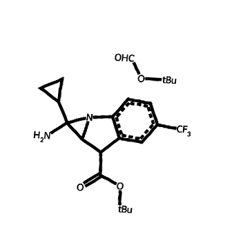 CC(C)(C)OC(=O)C1c2cc(C(F)(F)F)ccc2N2C1C2(N)C1CC1.CC(C)(C)OC=O